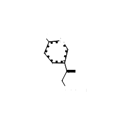 CCOC(=O)CC(=O)c1ccc(F)nc1